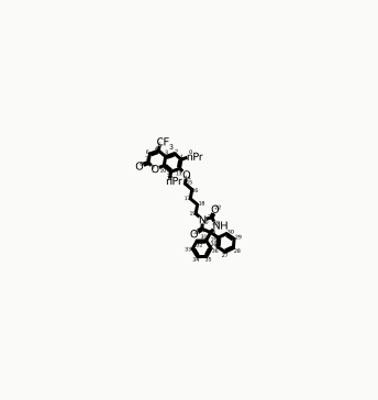 CCCc1cc2c(C(F)(F)F)cc(=O)oc2c(CCC)c1OCCCCCN1C(=O)NC(c2ccccc2)(c2ccccc2)C1=O